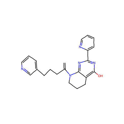 C=C(CCCc1cccnc1)N1CCCc2c(O)nc(-c3ccccn3)nc21